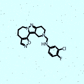 Fc1ccc(NCN2CCc3nn4c(c3C2)-c2oncc2CCC4)cc1Cl